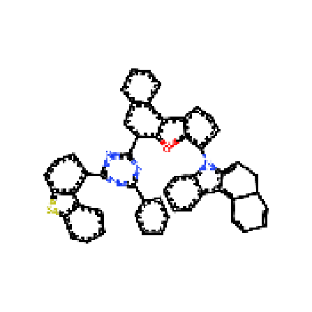 C1=CC2=c3c(n(-c4cccc5c4oc4c(-c6nc(-c7ccccc7)nc(-c7cccc8sc9ccccc9c78)n6)cc6ccccc6c45)c4ccccc34)=CCC2C=C1